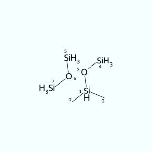 C[SiH](C)O[SiH3].[SiH3]O[SiH3]